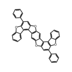 c1ccc(-c2cc3oc4cc5c(cc4c3c3c2oc2ccccc23)oc2cc(-c3ccccc3)c3oc4ccccc4c3c25)cc1